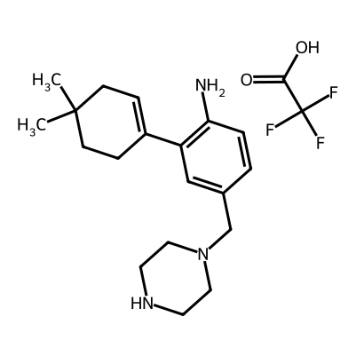 CC1(C)CC=C(c2cc(CN3CCNCC3)ccc2N)CC1.O=C(O)C(F)(F)F